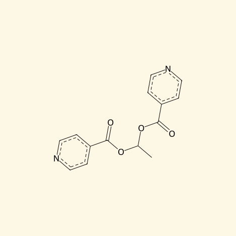 CC(OC(=O)c1ccncc1)OC(=O)c1ccncc1